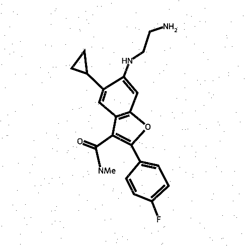 CNC(=O)c1c(-c2ccc(F)cc2)oc2cc(NCCN)c(C3CC3)cc12